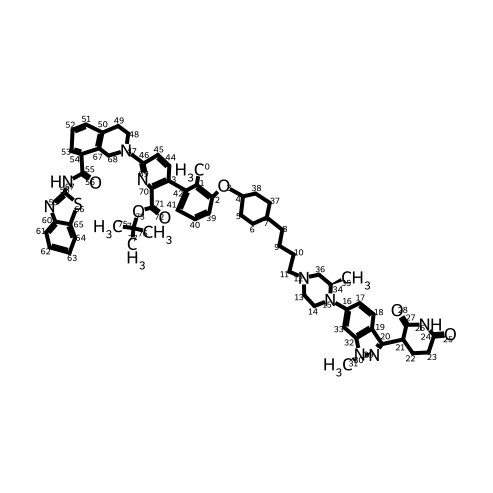 Cc1c(OC2CCC(CCCCN3CCN(c4ccc5c(C6CCC(=O)NC6=O)nn(C)c5c4)[C@H](C)C3)CC2)cccc1-c1ccc(N2CCc3cccc(C(=O)Nc4nc5ccccc5s4)c3C2)nc1C(=O)OC(C)(C)C